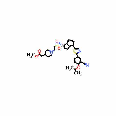 COC(=O)CC1CCN(CCS(=O)(=O)N[C@H]2CCc3c(-c4cnc(-c5ccc(OC(C)C)c(C#N)c5)s4)cccc32)CC1